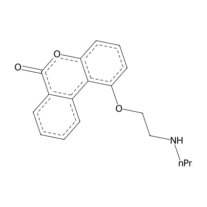 CCCNCCOc1cccc2oc(=O)c3ccccc3c12